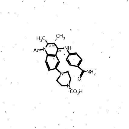 CC(=O)N1c2ccc(N3CCN(C(=O)O)CC3)cc2[C@H](Nc2ccc(C(N)=O)cc2)[C@@H](C)[C@@H]1C